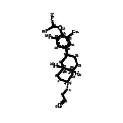 O=CCC[C@@H]1CC[C@@H]2CC(c3cc(F)c(OC(F)F)c(F)c3)CC[C@@H]2C1